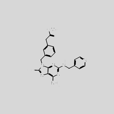 COC(=O)Cc1cccc(Cn2c(O)nc3c(N)nc(NCc4ccncc4)nc32)c1